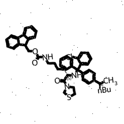 CCCC[C@H](C)c1ccc(C(N[C@@H](CCCCNC(=O)OCC2c3ccccc3-c3ccccc32)C(=O)N2CCSC2)(c2ccccc2)c2ccccc2Cl)cc1